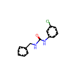 O=C(NCc1ccccc1)Nc1cccc(Cl)c1